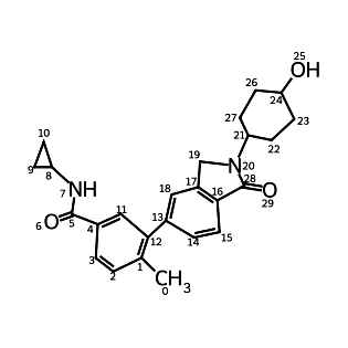 Cc1ccc(C(=O)NC2CC2)cc1-c1ccc2c(c1)CN(C1CCC(O)CC1)C2=O